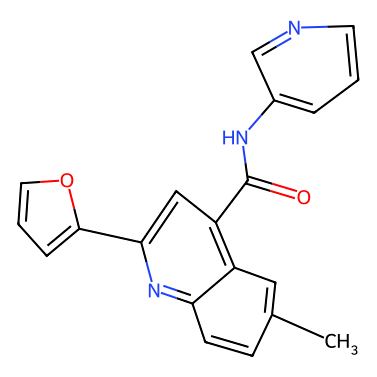 Cc1ccc2nc(-c3ccco3)cc(C(=O)Nc3cccnc3)c2c1